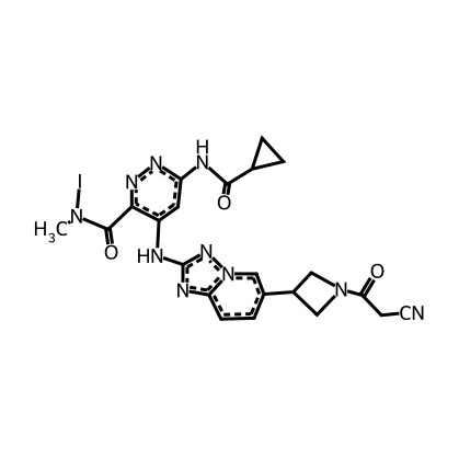 CN(I)C(=O)c1nnc(NC(=O)C2CC2)cc1Nc1nc2ccc(C3CN(C(=O)CC#N)C3)cn2n1